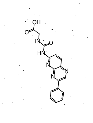 O=C(O)CNC(=O)Nc1ccc2ncc(-c3ccccc3)nc2n1